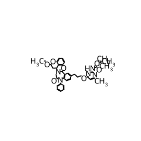 CCOC(=O)CC(c1ccccc1)N1CC(=O)N(c2ccccc2)c2ccc(CCCOc3cc(C)nc(NC(=O)OC(C)(C)C)n3)cc2C1=O